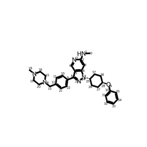 CNc1cc2c(cn1)c(-c1ccc(CN3CCN(C)CC3)cc1)nn2[C@H]1CC[C@H](Oc2ccccc2)CC1